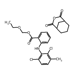 CCOCOC(=O)c1ccccc1Nc1c(Cl)ccc(C)c1Cl.O=C1OC(=O)C2CCCC1C2